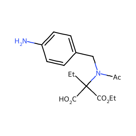 CCOC(=O)C(CC)(C(=O)O)N(Cc1ccc(N)cc1)C(C)=O